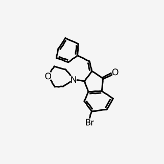 O=C1/C(=C/c2ccccc2)C(N2CCOCC2)c2cc(Br)ccc21